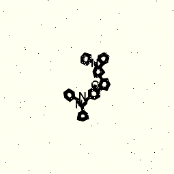 c1ccc(-c2cc(-c3ccc4c(c3)oc3c(-c5ccc6c(c5)c5ccccc5n6-c5ccccc5)cccc34)nc(-c3ccccc3)n2)cc1